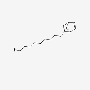 ICCCCCCCCCC1CC2C=CC1C2